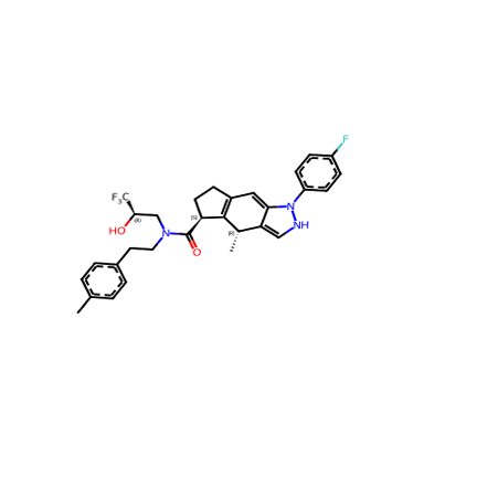 Cc1ccc(CCN(C[C@@H](O)C(F)(F)F)C(=O)[C@H]2CCC3=C2[C@@H](C)C2=CNN(c4ccc(F)cc4)C2=C3)cc1